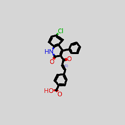 O=C(O)c1ccc(/C=C/C(=O)c2c(-c3ccccc3)c3cc(Cl)ccc3[nH]c2=O)cc1